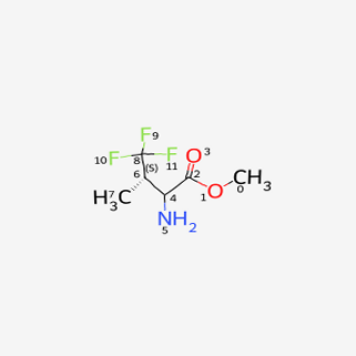 COC(=O)C(N)[C@H](C)C(F)(F)F